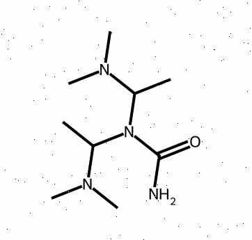 CC(N(C)C)N(C(N)=O)C(C)N(C)C